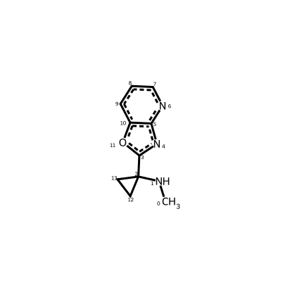 CNC1(c2nc3ncccc3o2)CC1